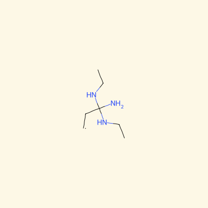 [CH2]CC(N)(NCC)NCC